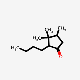 CCCCC1C(=O)CC(C)C1(C)C